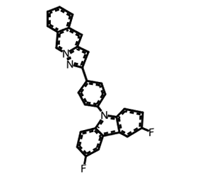 Fc1ccc2c(c1)c1cc(F)ccc1n2-c1ccc(-c2cc3cc4ccccc4cn3n2)cc1